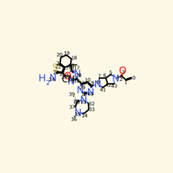 C=CC(=O)N1CC2CN(c3cc(-c4noc([C@@]5(C)CCCc6sc(N)c(C#N)c65)n4)nc(N4CCCN(C)C[C@@H]4C)n3)CC2C1